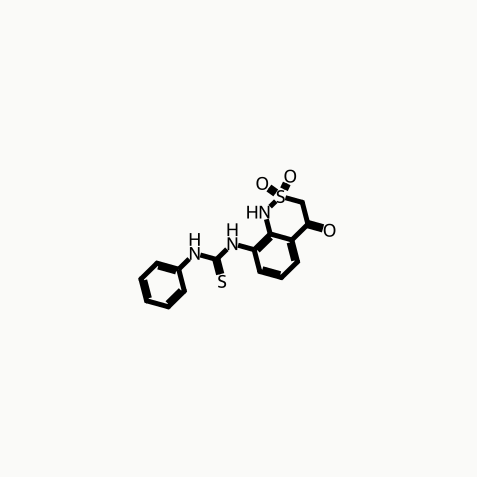 O=C1CS(=O)(=O)Nc2c(NC(=S)Nc3ccccc3)cccc21